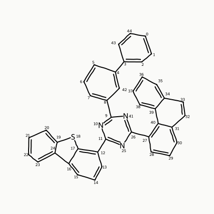 c1ccc(-c2cccc(-c3nc(-c4cccc5c4sc4ccccc45)nc(-c4cccc5ccc6ccccc6c45)n3)c2)cc1